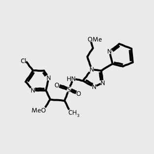 COCCn1c(NS(=O)(=O)C(C)C(OC)c2ncc(Cl)cn2)nnc1-c1ccccn1